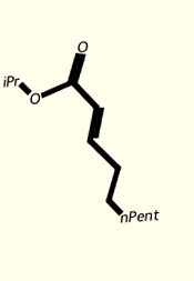 CCCCCCCC=CC(=O)OC(C)C